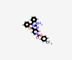 Nc1nc2c(c(=O)n1C(c1ccccc1)c1ccccc1)CCN(C(=O)OC1CCC(C(F)(F)F)CC1)C2